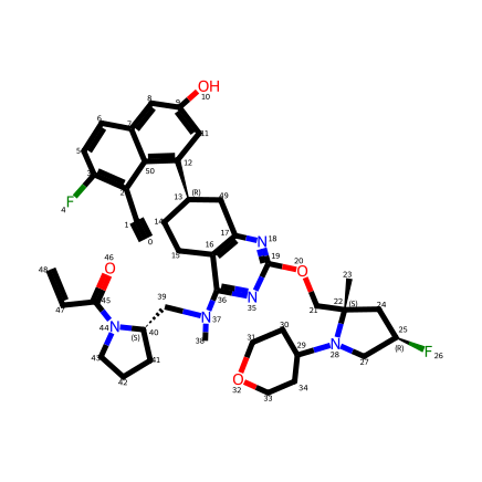 C#Cc1c(F)ccc2cc(O)cc([C@@H]3CCc4c(nc(OC[C@]5(C)C[C@@H](F)CN5C5CCOCC5)nc4N(C)C[C@@H]4CCCN4C(=O)C=C)C3)c12